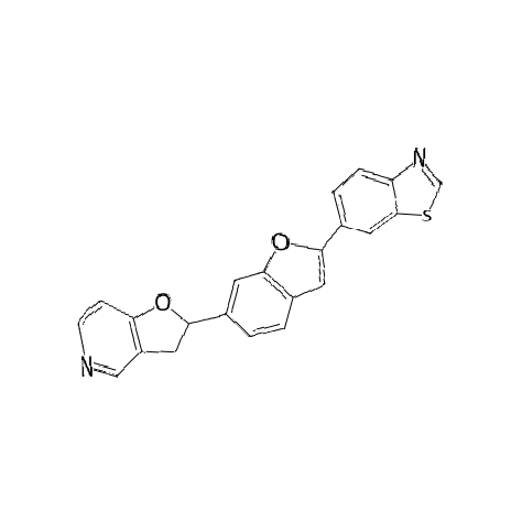 c1cc2c(cn1)CC(c1ccc3cc(-c4ccc5ncsc5c4)oc3c1)O2